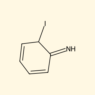 N=C1C=CC=CC1I